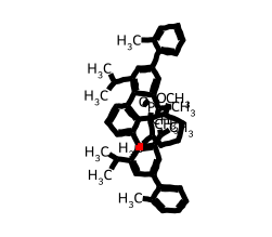 Cc1ccccc1-c1cc(C(C)C)c(-c2cccc(-c3c(C(C)C)cc(-c4ccccc4C)cc3C(C)C)c2C2(P(=O)=O)C(C)CCCC2C)c(C(C)C)c1